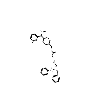 CN(C)C(c1cccc(F)c1)C1CCC(CNC(=O)COCCN(Cc2ccccc2)S(=O)(=O)c2ccccc2)CC1